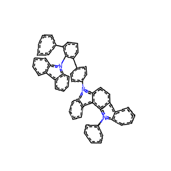 c1ccc(-c2cccc(-c3ccc(-n4c5ccccc5c5c4ccc4c6ccccc6n(-c6ccccc6)c45)cc3)c2-n2c3ccccc3c3ccccc32)cc1